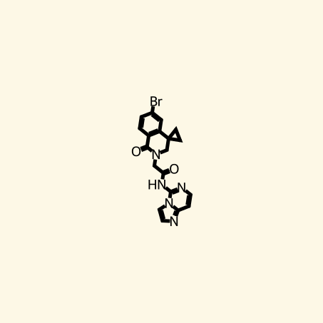 O=C(CN1CC2(CC2)c2cc(Br)ccc2C1=O)Nc1nccc2nccn12